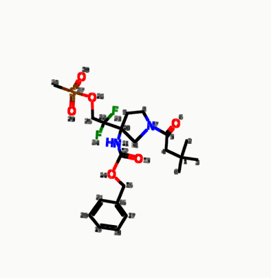 CC(C)(C)CC(=O)N1CCC(NC(=O)OCc2ccccc2)(C(F)(F)COS(C)(=O)=O)C1